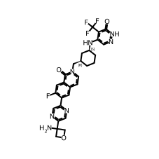 NC1(c2cnc(-c3cc4ccn(C[C@@H]5CCC[C@H](Nc6cn[nH]c(=O)c6C(F)(F)F)C5)c(=O)c4cc3F)cn2)COC1